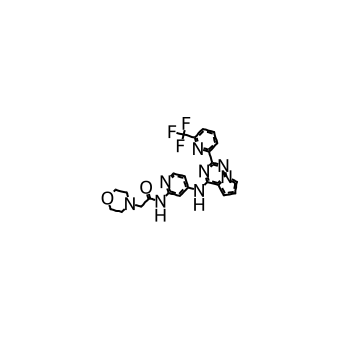 O=C(CN1CCOCC1)Nc1cc(Nc2nc(-c3cccc(C(F)(F)F)n3)nn3cccc23)ccn1